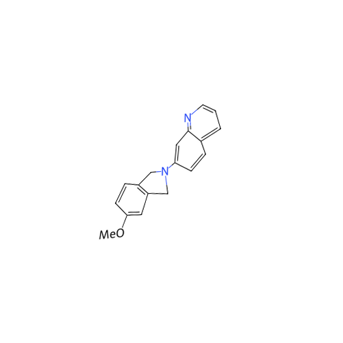 COc1ccc2c(c1)CN(c1ccc3cccnc3c1)C2